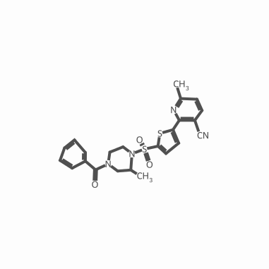 Cc1ccc(C#N)c(-c2ccc(S(=O)(=O)N3CCN(C(=O)c4ccccc4)CC3C)s2)n1